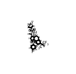 CC(NS(=O)(=O)c1cnn(C)c1)[C@@H]1CC[C@@]2(S(=O)(=O)c3ccc(F)cc3)c3ccc(C(F)(C(F)(F)F)C(F)(F)F)cc3CC[C@@H]12